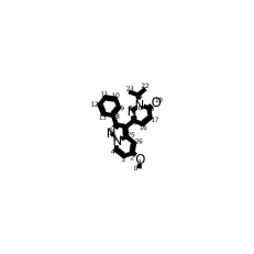 COc1ccn2nc(-c3ccccc3)c(-c3ccc(=O)n(C(C)C)n3)c2c1